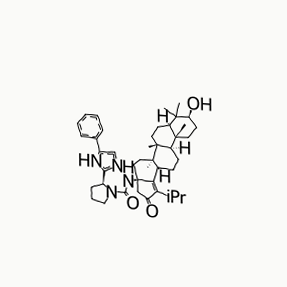 CC(C)C1=C2[C@H]3CC[C@@H]4[C@@]5(C)CC[C@H](O)C(C)(C)[C@@H]5CC[C@@]4(C)[C@]3(C)CC[C@@]2(NC(=O)N2CCC[C@H]2c2ncc(-c3ccccc3)[nH]2)CC1=O